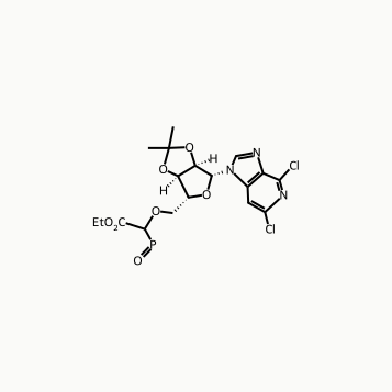 CCOC(=O)C(OC[C@H]1O[C@@H](n2cnc3c(Cl)nc(Cl)cc32)[C@@H]2OC(C)(C)O[C@@H]21)P=O